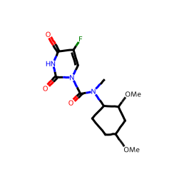 COC1CCC(N(C)C(=O)n2cc(F)c(=O)[nH]c2=O)C(OC)C1